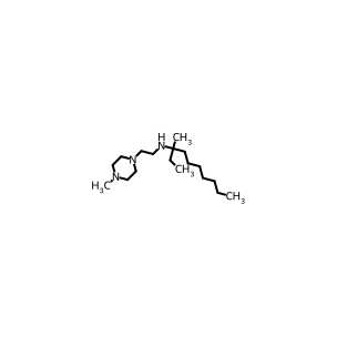 CCCCCCCC(C)(CC)NCCN1CCN(C)CC1